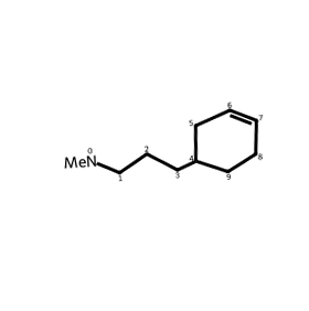 CNCCCC1CC=CCC1